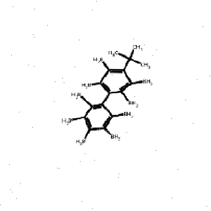 Bc1c(B)c(B)c(-c2c(B)c(B)c(C(C)(C)C)c(B)c2B)c(B)c1B